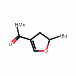 CNC(=O)C1=COC(C(C)(C)C)C1